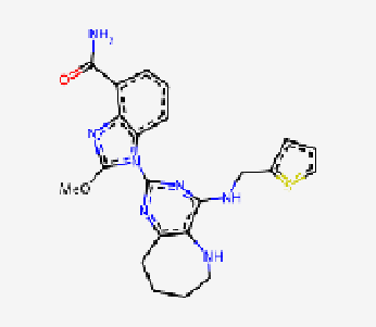 COc1nc2c(C(N)=O)cccc2n1-c1nc2c(c(NCc3cccs3)n1)NCCCC2